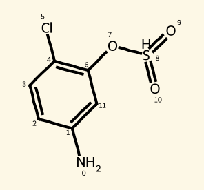 Nc1ccc(Cl)c(O[SH](=O)=O)c1